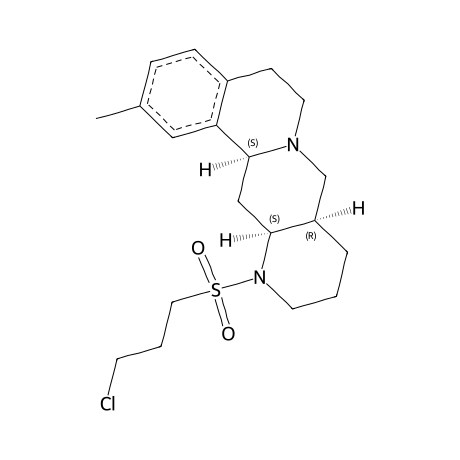 Cc1ccc2c(c1)[C@@H]1C[C@H]3[C@H](CCCN3S(=O)(=O)CCCCl)CN1CC2